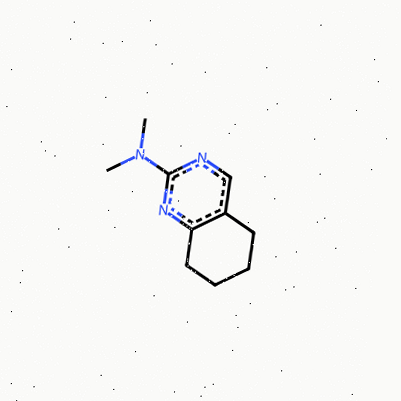 CN(C)c1ncc2c(n1)CCCC2